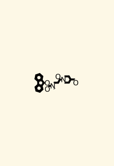 CN(CCC(=O)N1CCC(C=O)CC1)C(=O)OC1c2ccccc2-c2ccccc21